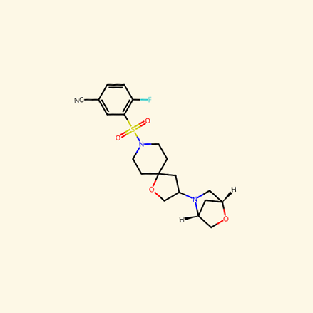 N#Cc1ccc(F)c(S(=O)(=O)N2CCC3(CC2)CC(N2C[C@H]4C[C@@H]2CO4)CO3)c1